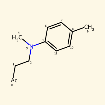 CC(=O)CCN(C)c1ccc(C)cc1